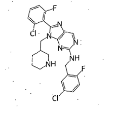 Fc1ccc(Cl)cc1CNc1ncc2nc(-c3c(F)cccc3Cl)n(CC3CCCNC3)c2n1